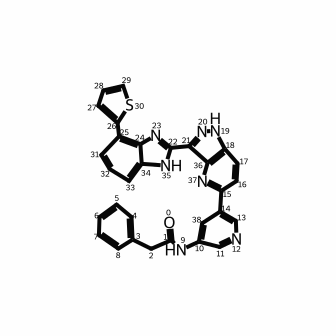 O=C(Cc1ccccc1)Nc1cncc(-c2ccc3[nH]nc(-c4nc5c(-c6cccs6)cccc5[nH]4)c3n2)c1